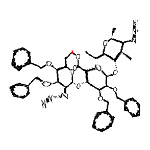 CCC1O[C@@H](C)C(N=[N+]=[N-])[C@@H](C)[C@@H]1O[C@@H]1OC(C(=O)OC)[C@@H](O[C@H]2OC(CC)[C@H](OCc3ccccc3)[C@H](OCc3ccccc3)C2N=[N+]=[N-])[C@H](OCc2ccccc2)C1OCc1ccccc1